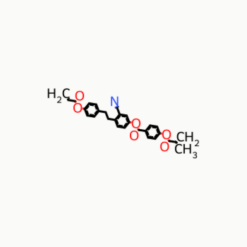 C=CC(=O)Oc1ccc(CCc2ccc(OC(=O)c3ccc(OC(=O)C(=C)C)cc3)cc2C#N)cc1